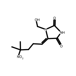 CC(C)(CCC=C1C(=O)NC(=O)N1CO)[N+](=O)[O-]